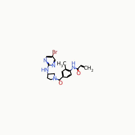 C=CC(=O)Nc1ccc(C(=O)N2CC[C@@H](Nc3ncc(Br)cn3)C2)cc1C